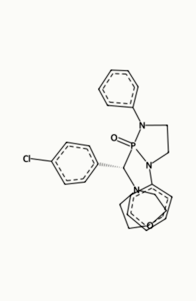 O=P1([C@@H](c2ccc(Cl)cc2)N2CCOCC2)N(c2ccccc2)CCN1c1ccccc1